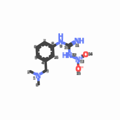 CN(C)Cc1cccc(NC(=N)N[N+](=O)[O-])c1